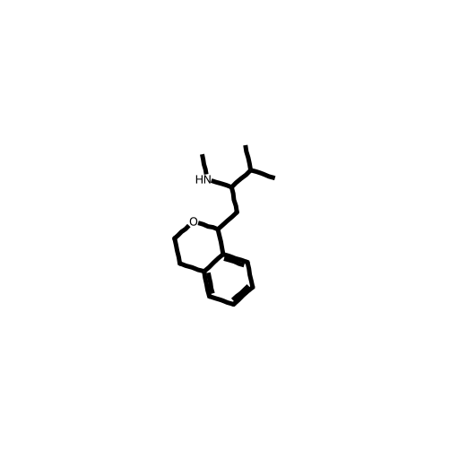 CNC(CC1OCCc2ccccc21)C(C)C